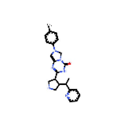 CC(c1ccccn1)C1CNCC1C1=NC2=CN(c3ccc(C(F)(F)F)cc3)CN2C(=O)N1